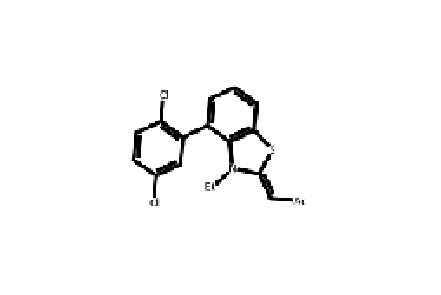 CCN1/C(=C/C(C)=O)Sc2cccc(-c3cc(Cl)ccc3Cl)c21